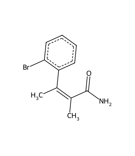 CC(C(N)=O)=C(C)c1ccccc1Br